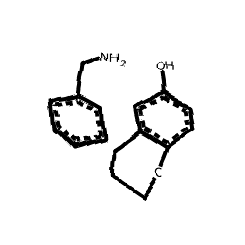 NCc1ccccc1.Oc1ccc2c(c1)CCCC2